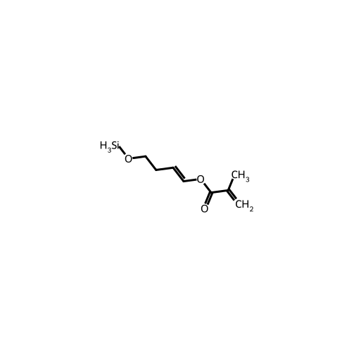 C=C(C)C(=O)OC=CCCO[SiH3]